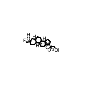 C[C@]12CC[C@H]3[C@@H](CC[C@H]4C[C@@](O)(CF)CC[C@@H]43)[C@@H]1CC[C@@H]2C(=O)CO